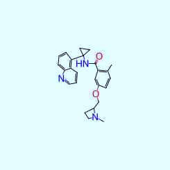 Cc1ccc(OCC2CCN2C)cc1C(=O)NC1(c2cccc3ncccc23)CC1